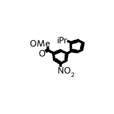 COC(=O)c1cc(-c2ccccc2C(C)C)cc([N+](=O)[O-])c1